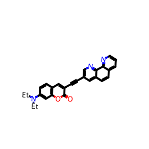 CCN(CC)c1ccc2cc(C#Cc3cnc4c(ccc5cccnc54)c3)c(=O)oc2c1